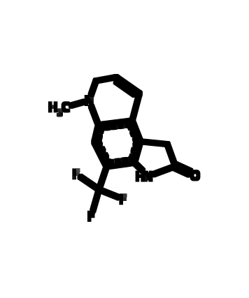 CN1CC=Cc2c1cc(C(F)(F)F)c1c2CC(=O)N1